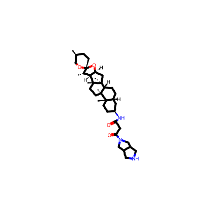 C[C@H]1CC[C@@]2(OC1)O[C@H]1C[C@@]3(C)[C@@H]4CC[C@@H]5C[C@@H](NC(=O)CC(=O)N6CC7CNCC7C6)CC[C@]5(C)[C@@]4(C)CC[C@]3(C)[C@H]1[C@@H]2C